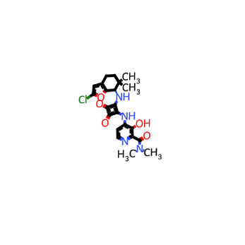 CN(C)C(=O)c1nccc(Nc2c(N[C@H]3c4oc(Cl)cc4CCC3(C)C)c(=O)c2=O)c1O